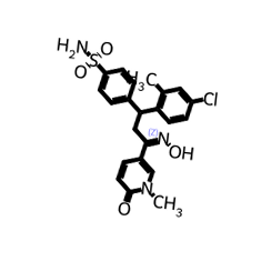 Cc1cc(Cl)ccc1C(C/C(=N/O)c1ccc(=O)n(C)c1)c1ccc(S(N)(=O)=O)cc1